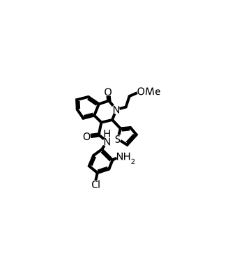 COCCN1C(=O)c2ccccc2C(C(=O)Nc2ccc(Cl)cc2N)C1c1cccs1